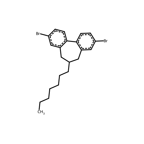 CCCCCCCC1Cc2cc(Br)ccc2-c2ccc(Br)cc2C1